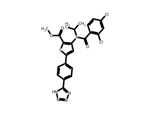 COC(=O)c1sc(-c2ccc(-c3nnn[nH]3)cc2)cc1N(C(=O)c1ccc(Cl)cc1Cl)C(C)C